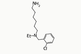 CCN(CCCCCCN)Cc1ccccc1Cl